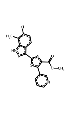 COC(=O)c1nc(-c2n[nH]c3c(C)c(Cl)ccc23)sc1-c1cccnc1